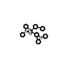 c1ccc(-c2cccc(-c3c(-c4ccc5c(c4)c4ccccc4n5-c4ccccc4)nc4n(-c5ccccc5)c5ccccc5n34)c2)cc1